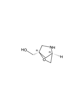 OC[C@@]12CN[C@@H](CO1)C2